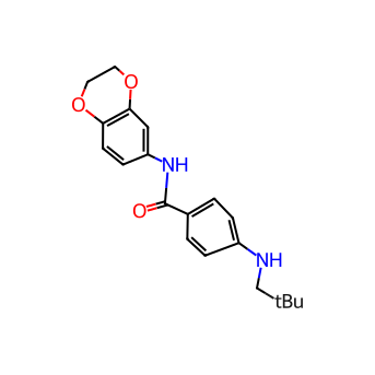 CC(C)(C)CNc1ccc(C(=O)Nc2ccc3c(c2)OCCO3)cc1